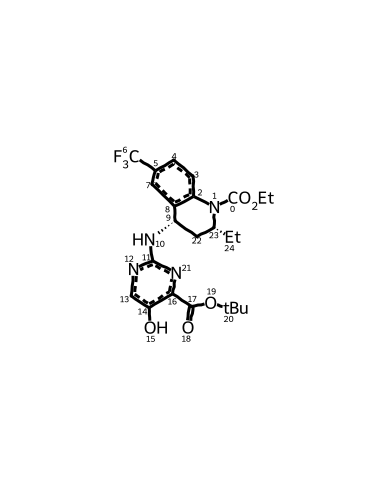 CCOC(=O)N1c2ccc(C(F)(F)F)cc2[C@@H](Nc2ncc(O)c(C(=O)OC(C)(C)C)n2)C[C@H]1CC